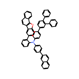 c1ccc(-c2ccc(-c3ccc(N(c4ccc(-c5ccc6ccccc6c5)cc4)c4ccccc4-c4ccc5oc6c7ccccc7ccc6c5c4)cc3)cc2-c2ccccc2)cc1